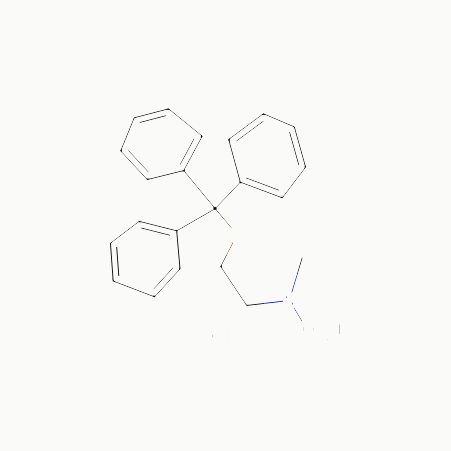 CN(C(=O)O)[C@H](C=O)CSC(c1ccccc1)(c1ccccc1)c1ccccc1